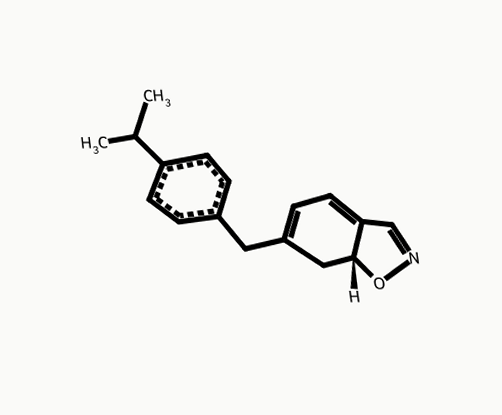 CC(C)c1ccc(CC2=CC=C3C=NO[C@@H]3C2)cc1